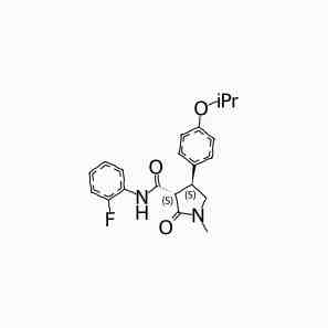 CC(C)Oc1ccc([C@H]2CN(C)C(=O)[C@@H]2C(=O)Nc2ccccc2F)cc1